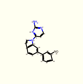 Nc1nccc(-n2ccc3ccc(-c4cccc(N=O)c4)cc32)n1